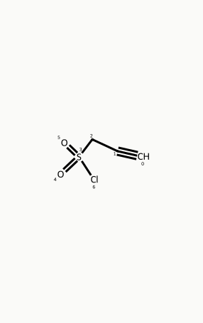 C#CCS(=O)(=O)Cl